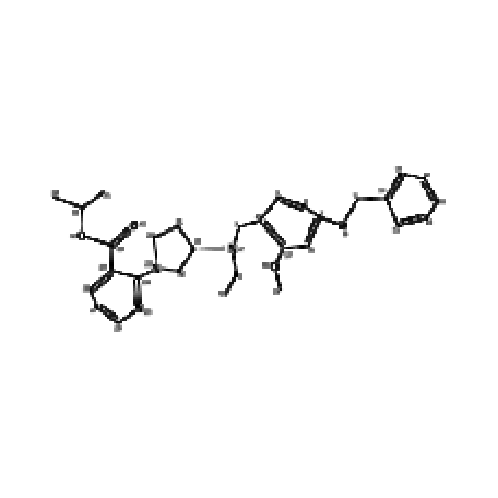 CCN(Cc1ccc(OCc2ccccc2)cc1OC)[C@H]1CCN(c2ncccc2C(=O)OC(C)C)C1